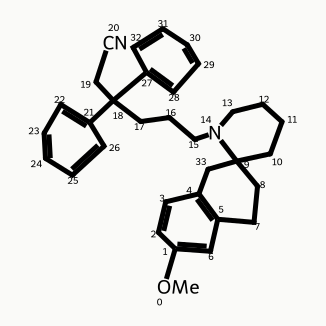 COc1ccc2c(c1)CCC1(CCCCN1CCCC(CC#N)(c1ccccc1)c1ccccc1)C2